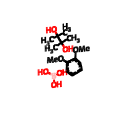 CC(C)(O)C(C)(C)O.COc1ccccc1OC.OB(O)O